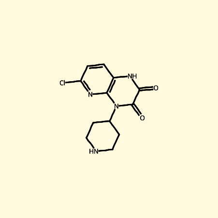 O=c1[nH]c2ccc(Cl)nc2n(C2CCNCC2)c1=O